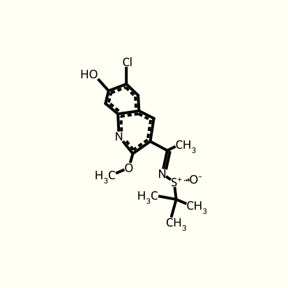 COc1nc2cc(O)c(Cl)cc2cc1/C(C)=N/[S@+]([O-])C(C)(C)C